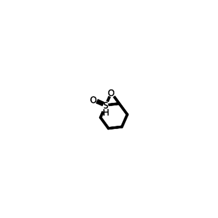 O=[SH]12CCCCC1O2